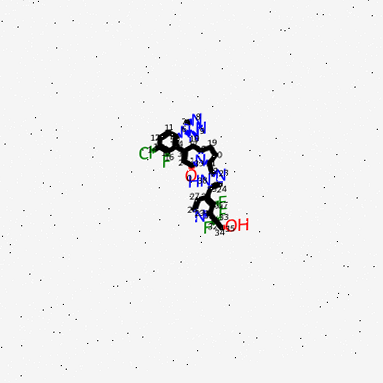 O=C1C=C(c2c(-n3cnnn3)ccc(Cl)c2F)CC2CCC(c3ncc(-c4ccnc(C(F)(F)CO)c4F)[nH]3)N12